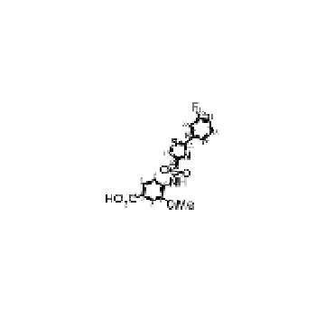 COc1cc(C(=O)O)ccc1NS(=O)(=O)c1csc(-c2cccc(F)c2)n1